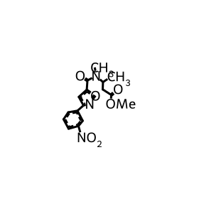 COC(=O)CC(C)N(C)C(=O)c1cc(-c2cccc([N+](=O)[O-])c2)no1